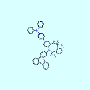 C=C1c2ccccc2C(C)(C)Cc2cc(-c3ccc(N(c4ccccc4)c4ccccc4)cc3)ccc2N1c1ccc2c3ccccc3c3ccccc3c2c1